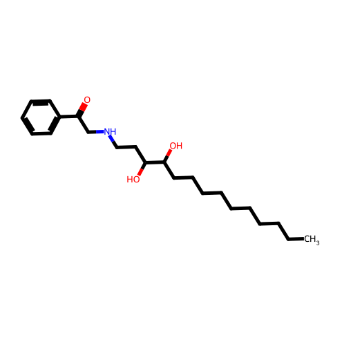 CCCCCCCCCCC(O)C(O)CCNCC(=O)c1ccccc1